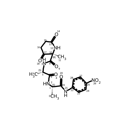 C[C@H](NC(=O)[C@H](C)NC(=O)[C@]1(C)NC(=O)CCC1=O)C(=O)Nc1ccc([N+](=O)[O-])cc1